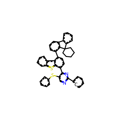 c1ccc(Sc2cnc(-c3ccccc3)nc2-c2ccc(-c3cccc4c3C3(CCCCC3)c3ccccc3-4)c3c2sc2ccccc23)cc1